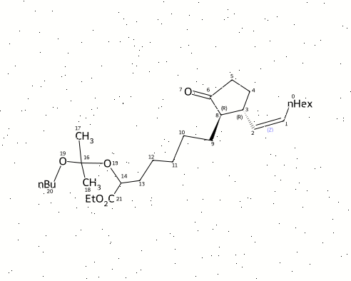 CCCCCC/C=C\[C@H]1CCC(=O)[C@@H]1CCCCCC(OC(C)(C)OCCCC)C(=O)OCC